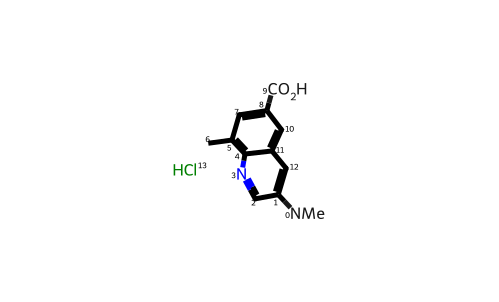 CNc1cnc2c(C)cc(C(=O)O)cc2c1.Cl